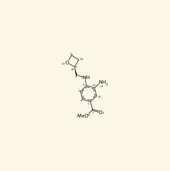 COC(=O)c1ccc(NC[C@@H]2CCO2)c(N)c1